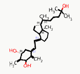 C=C1/C(=C/C=C2\CCC[C@@]3(C)C2CC[C@@H]3[C@@H](C)CCCC(C)(C)O)C[C@@H](O)C(=C)C1O